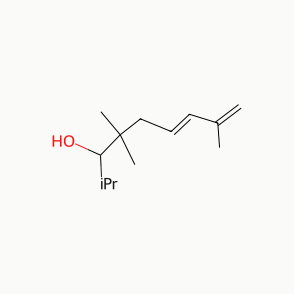 C=C(C)C=CCC(C)(C)C(O)C(C)C